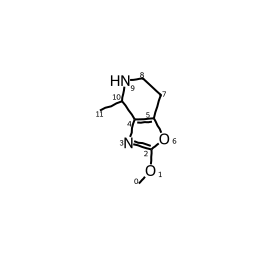 COc1nc2c(o1)CCNC2C